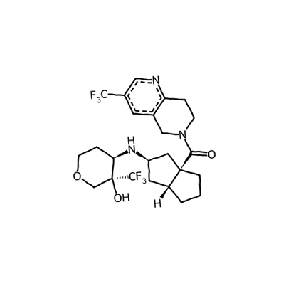 O=C(N1CCc2ncc(C(F)(F)F)cc2C1)[C@@]12CCC[C@@H]1C[C@@H](N[C@@H]1CCOC[C@@]1(O)C(F)(F)F)C2